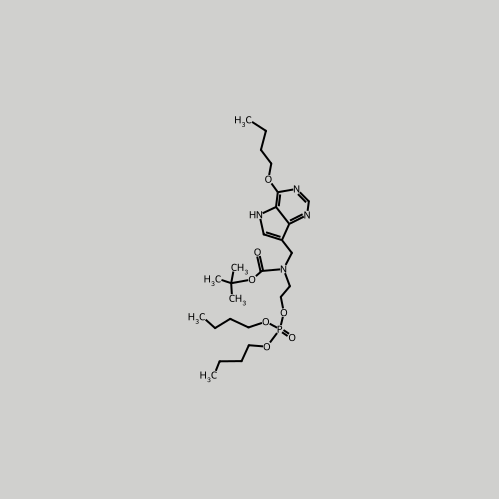 CCCCOc1ncnc2c(CN(CCOP(=O)(OCCCC)OCCCC)C(=O)OC(C)(C)C)c[nH]c12